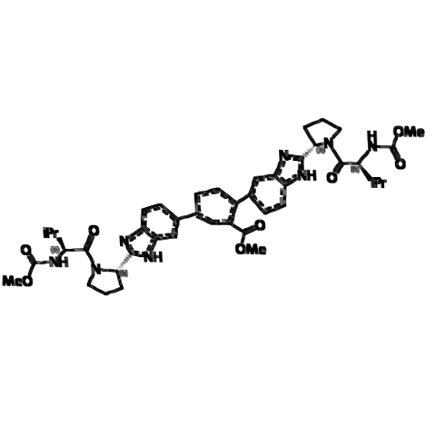 COC(=O)N[C@H](C(=O)N1CCC[C@H]1c1nc2cc(-c3ccc(-c4ccc5nc([C@@H]6CCCN6C(=O)[C@@H](NC(=O)OC)C(C)C)[nH]c5c4)cc3C(=O)OC)ccc2[nH]1)C(C)C